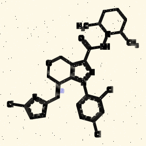 CC1CCCC(C)N1NC(=O)c1nn(-c2ccc(Cl)cc2Cl)c2c1COC/C2=C\c1ccc(Cl)s1